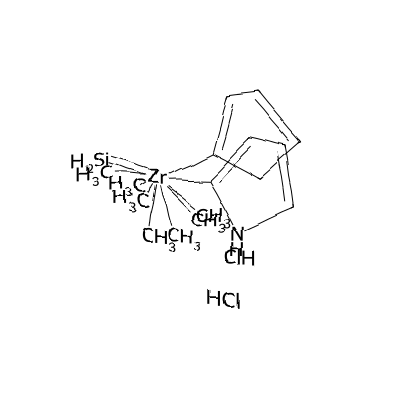 Cl.Cl.[CH3][Zr]([CH3])([CH3])([CH3])([CH3])([CH3])([CH3])(=[SiH2])([C]1=CC=CC1)[c]1ccc[nH]1